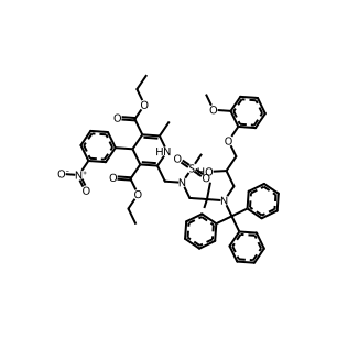 CCOC(=O)C1=C(C)NC(CN(CC(C)(C)N(CC(O)COc2ccccc2OC)C(c2ccccc2)(c2ccccc2)c2ccccc2)S(C)(=O)=O)=C(C(=O)OCC)C1c1cccc([N+](=O)[O-])c1